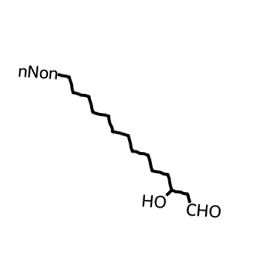 CCCCCCCCCCCCCCCCCCCCC(O)CC=O